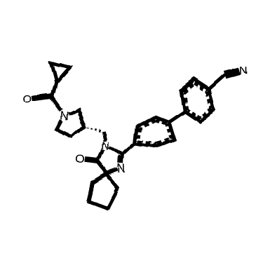 N#Cc1ccc(-c2ccc(C3=NC4(CCCC4)C(=O)N3C[C@@H]3CCN(C(=O)C4CC4)C3)cc2)cc1